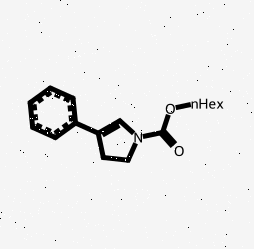 CCCCCCOC(=O)N1C=C(c2ccccc2)CC1